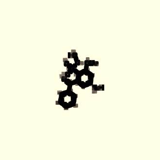 COc1cccc(C(=O)c2ccccc2)c1S(=O)(=O)OO.[NaH]